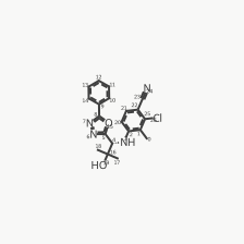 Cc1c(N[C@@H](c2nnc(-c3ccccc3)o2)C(C)(C)O)ccc(C#N)c1Cl